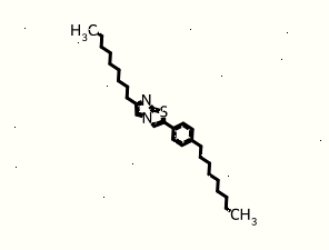 CCCCCCCCCc1ccc(-c2cn3cc(CCCCCCCCC)nc3s2)cc1